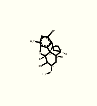 CO[C@@H]1C[C@H]2[C@@H]3CCC[C@@]24c2c(c(Br)cc(C)c2O[C@H]4C1O)C3